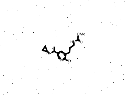 CCc1ncc(C(C)NC2CC2)cc1CCCNC(=O)OC